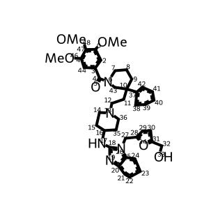 COc1cc(C(=O)N2CCCC(CCN3CCC(Nc4nc5ccccc5n4Cc4ccc(CO)o4)CC3)(c3ccccc3)C2)cc(OC)c1OC